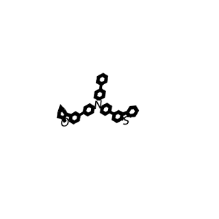 c1ccc(-c2ccc(N(c3ccc(-c4ccc5sc6ccccc6c5c4)cc3)c3ccc(-c4ccc5oc6cc7cc-7c6c5c4)cc3)cc2)cc1